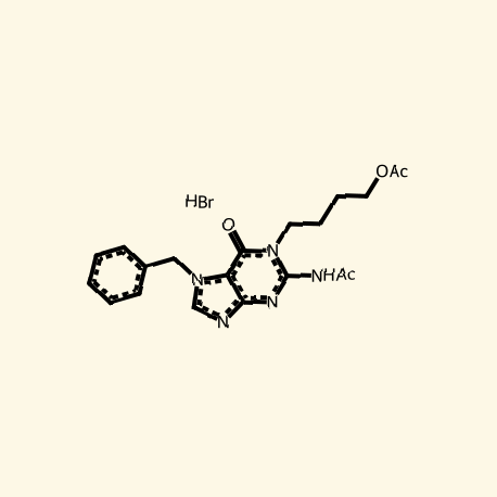 Br.CC(=O)Nc1nc2ncn(Cc3ccccc3)c2c(=O)n1CCCCOC(C)=O